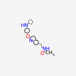 CC(=O)NCCc1ccc2nc(Oc3ccc(NC4CCCC4)cc3)ccc2c1